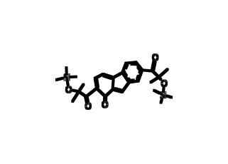 CC(C)(O[Si](C)(C)C)C(=O)C1=CC=C2C(=Cc3cc(C(=O)C(C)(C)O[Si](C)(C)C)ccc32)C1=O